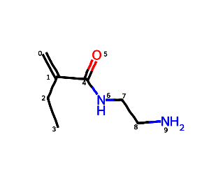 C=C(CC)C(=O)NCCN